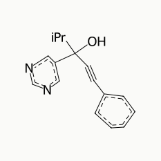 CC(C)C(O)(C#Cc1ccccc1)c1cncnc1